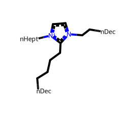 CCCCCCCCCCCCCCc1n(CCCCCCCCCCCC)cc[n+]1CCCCCCC